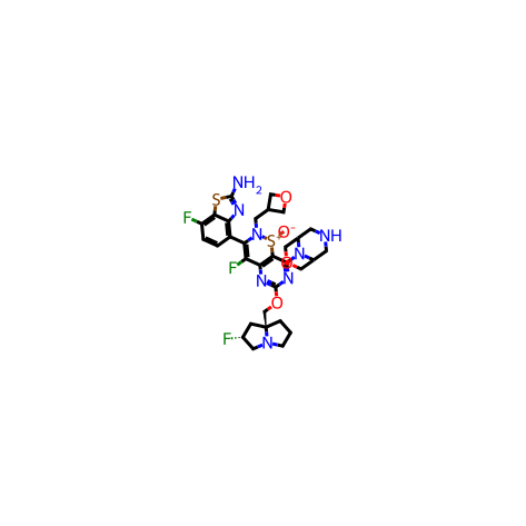 Nc1nc2c(C3=C(F)c4nc(OC[C@@]56CCCN5C[C@H](F)C6)nc(N5C6CNCC5COC6)c4[S+]([O-])N3CC3COC3)ccc(F)c2s1